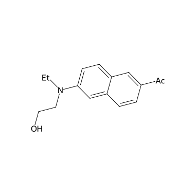 CCN(CCO)c1ccc2cc(C(C)=O)ccc2c1